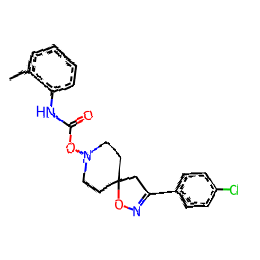 Cc1ccccc1NC(=O)ON1CCC2(CC1)CC(c1ccc(Cl)cc1)=NO2